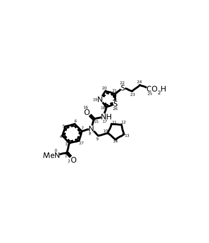 CNC(=O)c1cccc(N(CC2CCCC2)C(=O)Nc2ncc(SCCC(=O)O)s2)c1